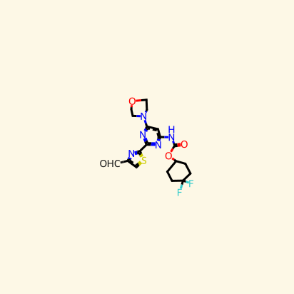 O=Cc1csc(-c2nc(NC(=O)OC3CCC(F)(F)CC3)cc(N3CCOCC3)n2)n1